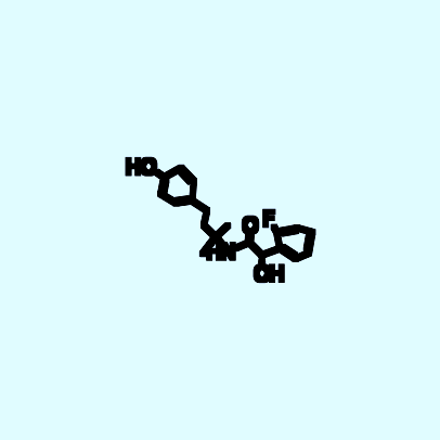 CC(C)(CCc1ccc(O)cc1)NC(=O)[C@H](O)c1ccccc1F